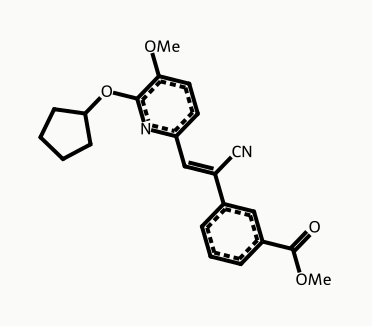 COC(=O)c1cccc(C(C#N)=Cc2ccc(OC)c(OC3CCCC3)n2)c1